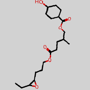 CCC1OC1CCCOC(=O)CCC(C)COC(=O)C1CCC(O)CC1